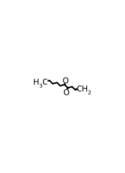 C=CCC(=O)C(=O)CCCCC